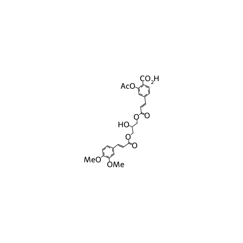 COc1ccc(C=CC(=O)OCC(O)COC(=O)C=Cc2ccc(C(=O)O)c(OC(C)=O)c2)cc1OC